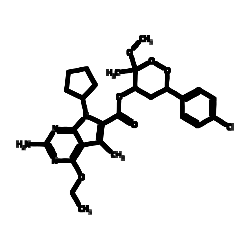 CCOc1nc(N)nc2c1c(C)c(C(=O)OC1CC(c3ccc(Cl)cc3)OOC1(C)OC)n2C1CCCC1